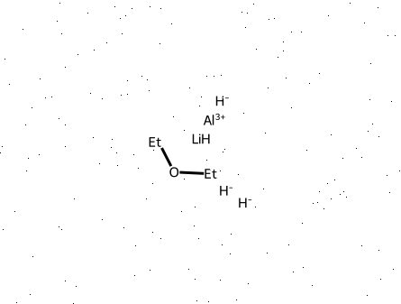 CCOCC.[Al+3].[H-].[H-].[H-].[LiH]